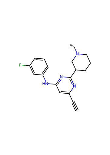 C#Cc1cc(Nc2cccc(F)c2)nc(C2CCCN(C(C)=O)C2)n1